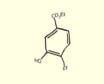 CCOC(=O)c1ccc(CC)c(O)c1